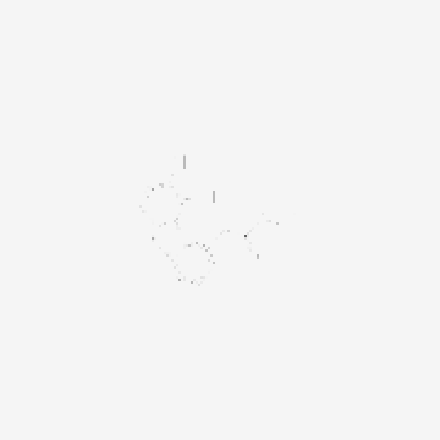 CCOC(=O)Cc1cccc2oc3ccc(Cl)c(Cl)c3c12